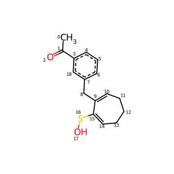 CC(=O)c1cccc(CC2=CCCCC=C2SO)c1